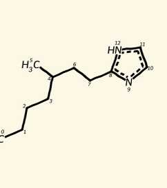 CCCCC(C)CCc1ncc[nH]1